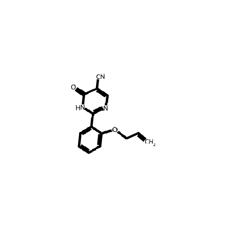 C=CCOc1ccccc1-c1ncc(C#N)c(=O)[nH]1